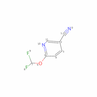 N#Cc1ccc(OC(F)F)nc1